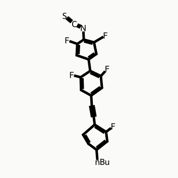 CCCCc1ccc(C#Cc2cc(F)c(-c3cc(F)c(N=C=S)c(F)c3)c(F)c2)c(F)c1